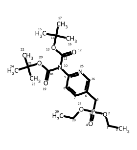 CCOP(=O)(Cc1ccc(N(C(=O)OC(C)(C)C)C(=O)OC(C)(C)C)nc1)OCC